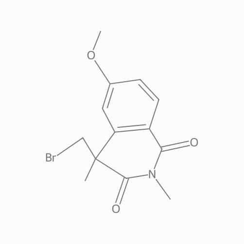 COc1ccc2c(c1)C(C)(CBr)C(=O)N(C)C2=O